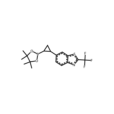 CC1(C)OB(C2CC2c2ccc3nc(C(F)(F)F)sc3c2)OC1(C)C